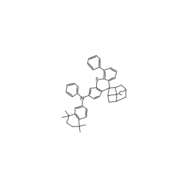 CC1(C)CCC(C)(C)c2cc(N(c3ccccc3)c3ccc4c(c3)Sc3c(-c5ccccc5)cccc3C43C4CC5CC6CC3C64C5)ccc21